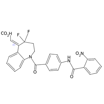 O=C(O)/C=C1/c2ccccc2N(C(=O)c2ccc(NC(=O)c3ccccc3[N+](=O)[O-])cc2)CCC1(F)F